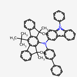 CC(C)(C)c1c2c(c(N(c3ccc(-c4ccccc4)cc3)c3ccc4c(c3)c3ccccc3n4-c3ccccc3)c3c1-c1ccccc1C3(C)C)C(C)(C)c1ccccc1-2